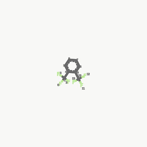 FC(F)(F)c1[c]cc[c]c1C(F)(F)F